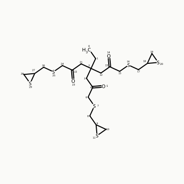 CCC(CC(=O)CSCC1CS1)(CC(=O)CSCC1CS1)CC(=O)CSCC1CS1